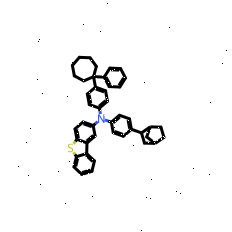 c1ccc(C2(c3ccc(N(c4ccc(C5CC6CCC5C6)cc4)c4ccc5sc6ccccc6c5c4)cc3)CCCCCC2)cc1